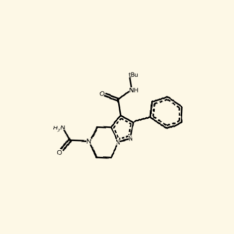 CC(C)(C)NC(=O)c1c(-c2ccccc2)nn2c1CN(C(N)=O)CC2